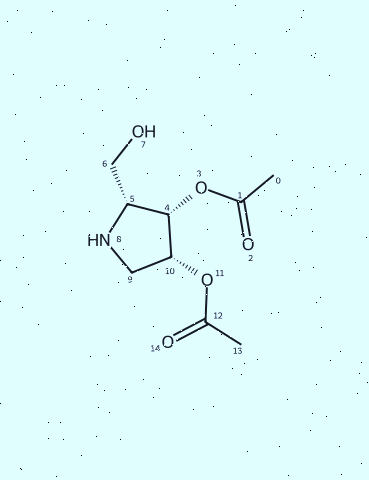 CC(=O)O[C@H]1[C@@H](CO)NC[C@H]1OC(C)=O